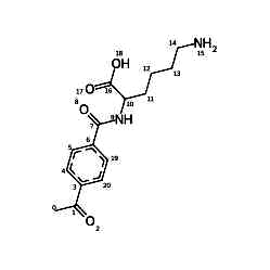 CC(=O)c1ccc(C(=O)NC(CCCCN)C(=O)O)cc1